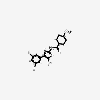 N#Cc1sc(NC(=O)C2CCC(C(=O)O)CC2)nc1-c1cc(F)cc(F)c1